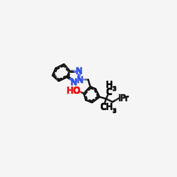 CC(C)CC(C)(C)c1ccc(O)c(Cn2nc3ccccc3n2)c1